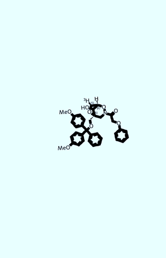 [3H][C@@H]1O[C@]2(COC(c3ccccc3)(c3ccc(OC)cc3)c3ccc(OC)cc3)CN(C(=O)COc3ccccc3)O[C@H]1C2O